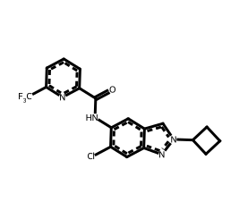 O=C(Nc1cc2cn(C3CCC3)nc2cc1Cl)c1cccc(C(F)(F)F)n1